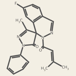 CC(C)=CC(=O)N1N=Cc2ccc(F)cc2C12C(=O)N(c1ccccc1)N=C2C